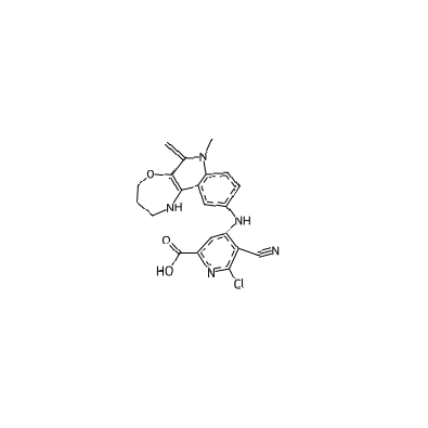 C=C1C2=C(NCCCO2)c2cc(Nc3cc(C(=O)O)nc(Cl)c3C#N)ccc2N1C